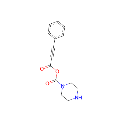 O=C(C#Cc1ccccc1)OC(=O)N1CCNCC1